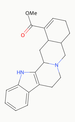 COC(=O)C1=CCCC2CN3CCc4c([nH]c5ccccc45)C3CC12